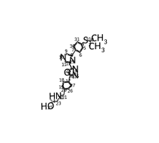 CC(C)Sc1ccc(-c2cncc(-c3nnc(-c4ccc(CNCCO)cc4)o3)n2)cc1